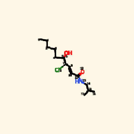 CCCCC[C@@H](O)[C@H](Cl)/C=C/C(=O)NCC(C)C